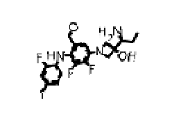 CCC(N)C1(O)CN(c2cc(C=O)c(Nc3ccc(I)cc3F)c(F)c2F)C1